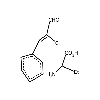 CCC(N)C(=O)O.O=CC(Cl)=Cc1ccccc1